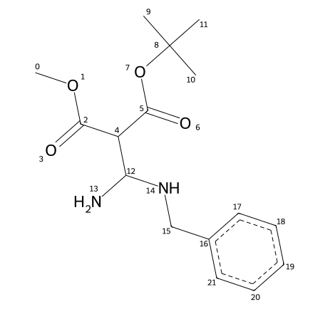 COC(=O)C(C(=O)OC(C)(C)C)C(N)NCc1ccccc1